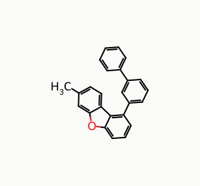 Cc1ccc2c(c1)oc1cccc(-c3cccc(-c4ccccc4)c3)c12